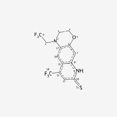 FC(F)(F)CN1CCOc2cc3[nH]c(=S)cc(C(F)(F)F)c3cc21